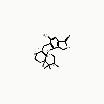 C[C@H]1CC[C@H]2C(C)(C)[C@H](Br)CC[C@]23Oc2c4c(cc(C(F)(F)F)c2C[C@]13C)C(=O)NC4